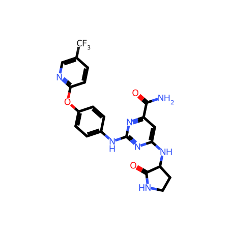 NC(=O)c1cc(NC2CCNC2=O)nc(Nc2ccc(Oc3ccc(C(F)(F)F)cn3)cc2)n1